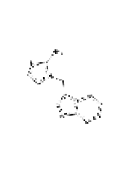 Nc1nccn1Cc1c[nH]c2ncccc12